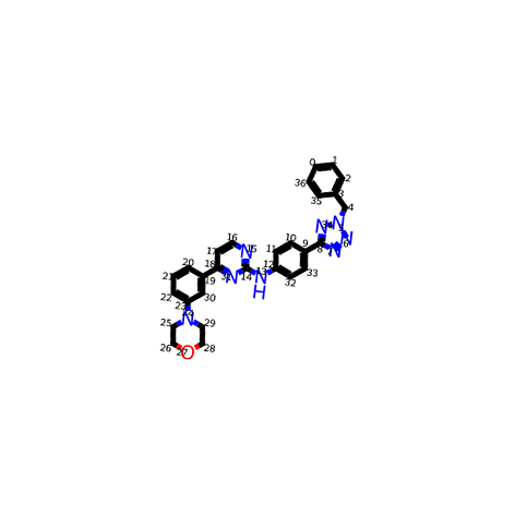 c1ccc(Cn2nnc(-c3ccc(Nc4nccc(-c5cccc(N6CCOCC6)c5)n4)cc3)n2)cc1